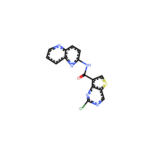 O=C(Nc1ccc2ncccc2n1)c1csc2cnc(Cl)nc12